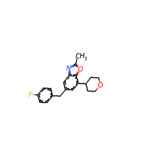 Cc1nc2cc(Cc3ccc(F)cc3)cc(C3CCOCC3)c2o1